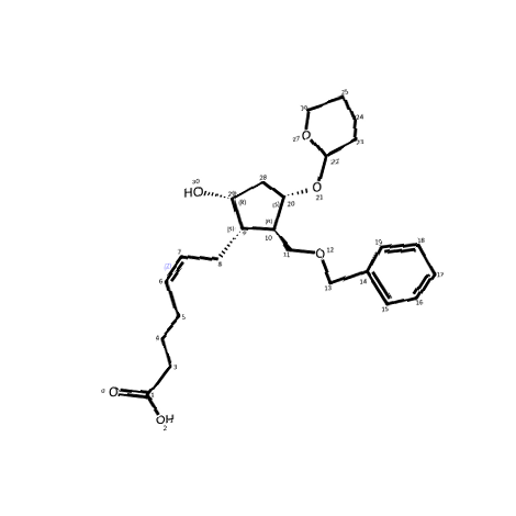 O=C(O)CCC/C=C\C[C@H]1[C@H](COCc2ccccc2)[C@@H](OC2CCCCO2)C[C@H]1O